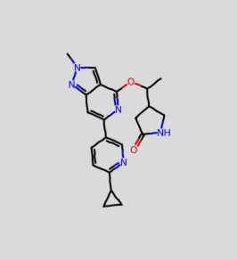 CC(Oc1nc(-c2ccc(C3CC3)nc2)cc2nn(C)cc12)C1CNC(=O)C1